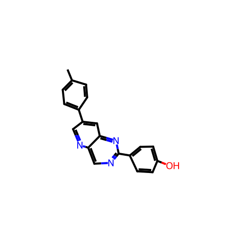 Cc1ccc(-c2cnc3cnc(-c4ccc(O)cc4)nc3c2)cc1